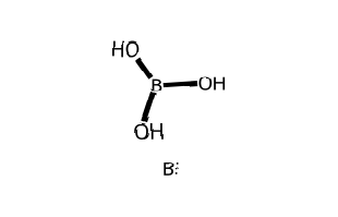 OB(O)O.[B]